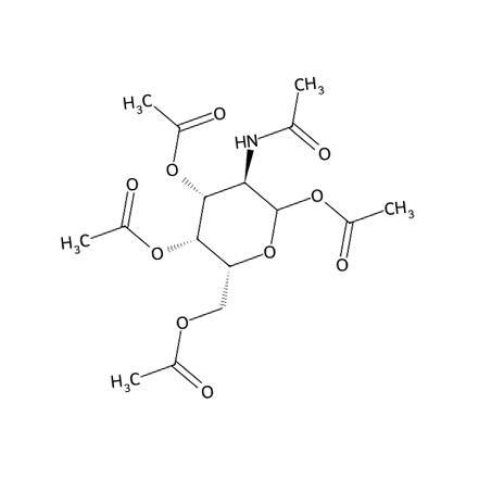 CC(=O)N[C@H]1C(OC(C)=O)O[C@H](COC(C)=O)[C@H](OC(C)=O)[C@@H]1OC(C)=O